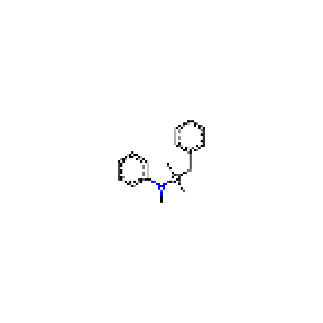 CN(c1ccccc1)[Si](C)(C)Cc1ccccc1